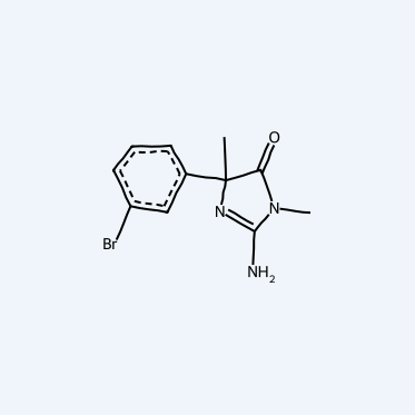 CN1C(=O)C(C)(c2cccc(Br)c2)N=C1N